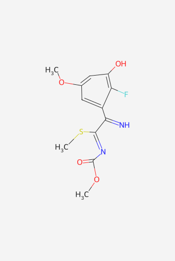 COC(=O)N=C(SC)C(=N)c1cc(OC)cc(O)c1F